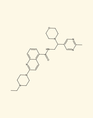 CCN1CCN(c2ccc3c(C(=O)NCC(c4cnc(C)nc4)N4CCOCC4)cccc3n2)CC1